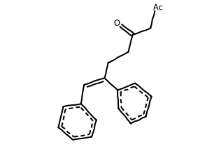 CC(=O)CC(=O)CCC(=Cc1ccccc1)c1ccccc1